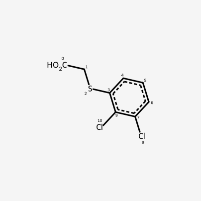 O=C(O)CSc1cccc(Cl)c1Cl